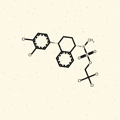 CN([C@H]1CC[C@@H](c2ccc(Cl)c(Cl)c2)c2ccccc21)S(=O)(=O)OCC(Cl)(Cl)Cl